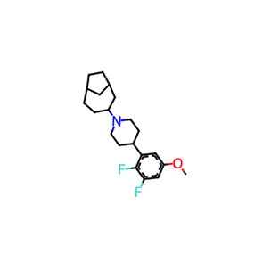 COc1cc(F)c(F)c(C2CCN(C3CCC4CCC(C4)C3)CC2)c1